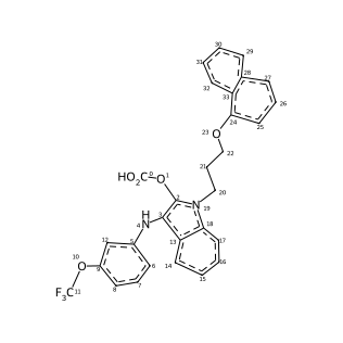 O=C(O)Oc1c(Nc2cccc(OC(F)(F)F)c2)c2ccccc2n1CCCOc1cccc2ccccc12